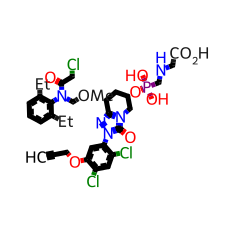 C#CCOc1cc(-n2nc3n(c2=O)CCCC3)c(Cl)cc1Cl.CCc1cccc(CC)c1N(COC)C(=O)CCl.O=C(O)CNCP(=O)(O)O